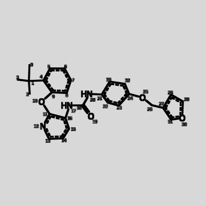 CC(C)(C)c1ccccc1Oc1ncccc1NC(=O)Nc1ccc(OCc2ccoc2)cc1